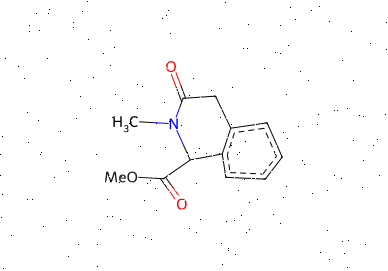 COC(=O)C1c2ccccc2CC(=O)N1C